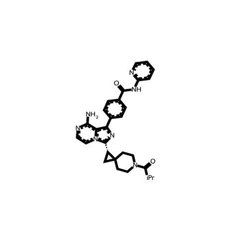 CC(C)C(=O)N1CCC2(CC1)C[C@@H]2c1nc(-c2ccc(C(=O)Nc3ccccn3)cc2)c2c(N)nccn12